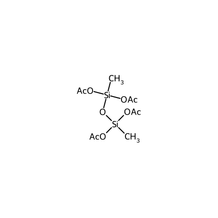 CC(=O)O[Si](C)(OC(C)=O)O[Si](C)(OC(C)=O)OC(C)=O